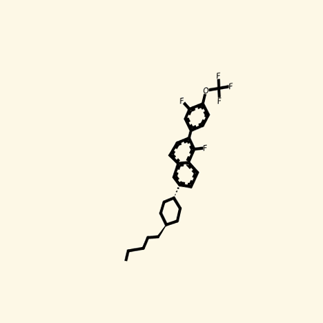 CCCCC[C@H]1CC[C@H](c2ccc3c(F)c(-c4ccc(OC(F)(F)F)c(F)c4)ccc3c2)CC1